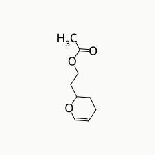 CC(=O)OCCC1CCC=CO1